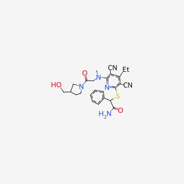 CCc1c(C#N)c(SC(C(N)=O)c2ccccc2)nc(N(C)CC(=O)N2CCC(CO)C2)c1C#N